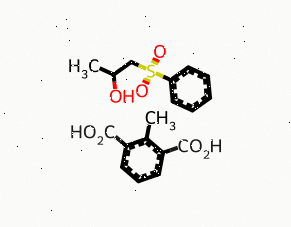 CC(O)CS(=O)(=O)c1ccccc1.Cc1c(C(=O)O)cccc1C(=O)O